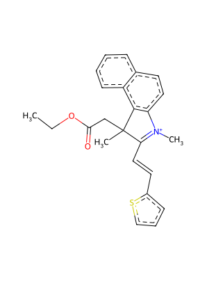 CCOC(=O)CC1(C)C(/C=C/c2cccs2)=[N+](C)c2ccc3ccccc3c21